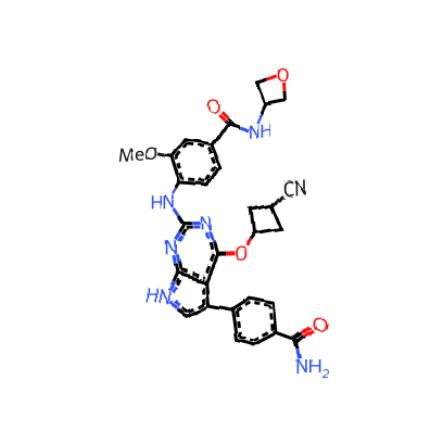 COc1cc(C(=O)NC2COC2)ccc1Nc1nc(OC2CC(C#N)C2)c2c(-c3ccc(C(N)=O)cc3)c[nH]c2n1